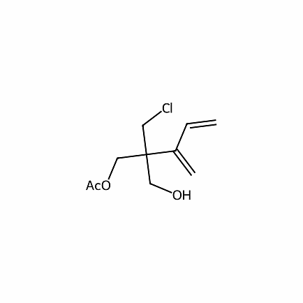 C=CC(=C)C(CO)(CCl)COC(C)=O